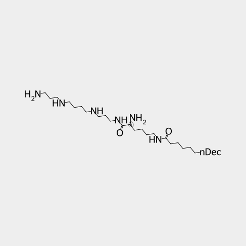 CCCCCCCCCCCCCCCC(=O)NCCCC[C@H](N)C(=O)NCCCNCCCCNCCCN